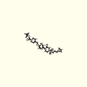 CC1(OC(=O)N2CCC(COc3cnc(N4CCN(S(=O)(=O)CCCN5CCC5)CC4=O)cn3)CC2)CC1